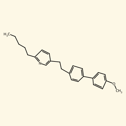 CCCCCc1ccc(CCc2ccc(-c3ccc(OC)cc3)cc2)cn1